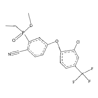 CCP(=O)(OC)c1cc(Oc2ccc(C(F)(F)F)cc2Cl)ccc1C#N